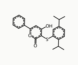 CC(C)c1ccc(C(C)C)c(Sc2c(O)cc(-c3ccccc3)oc2=O)c1